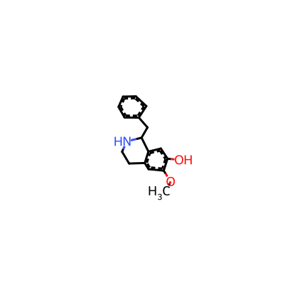 COc1cc2c(cc1O)C(Cc1ccccc1)NCC2